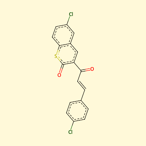 O=C(C=Cc1ccc(Cl)cc1)c1cc2cc(Cl)ccc2sc1=O